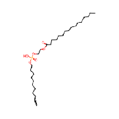 C=CCCCCCCCCCOP(=O)(O)OCCOC(=O)CCCCCCCCCCCCCCC